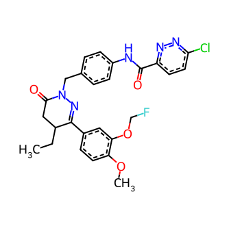 CCC1CC(=O)N(Cc2ccc(NC(=O)c3ccc(Cl)nn3)cc2)N=C1c1ccc(OC)c(OCF)c1